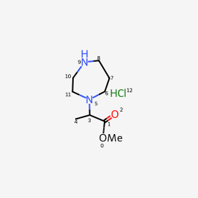 COC(=O)C(C)N1CCCNCC1.Cl